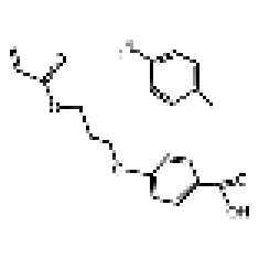 C=CC(=O)OCCCOc1ccc(C(=O)O)cc1.Cc1ccc(N)cc1